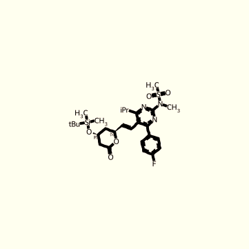 CC(C)c1nc(N(C)S(C)(=O)=O)nc(-c2ccc(F)cc2)c1C=C[C@@H]1C[C@@H](O[Si](C)(C)C(C)(C)C)CC(=O)O1